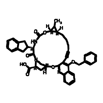 CC1[C@H]2CCCC#Cc3c(nc4ccccc4c3OCc3ccccc3)O[C@@H]3C[C@@H](C(=O)O)N(C3)C(=O)[C@H](C3Cc4ccccc4C3)NC(=O)O[C@H]12